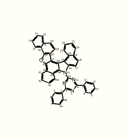 c1ccc(-c2nc(-c3ccccc3)nc(-n3c4ccc5ccccc5c4c4c5c6ccc7ccccc7c6oc5c5ccccc5c43)n2)cc1